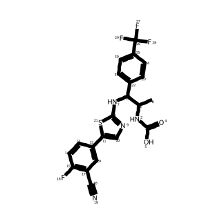 CC(NC(=O)O)C(Nc1ncc(-c2ccc(F)c(C#N)c2)s1)c1ccc(C(F)(F)F)cc1